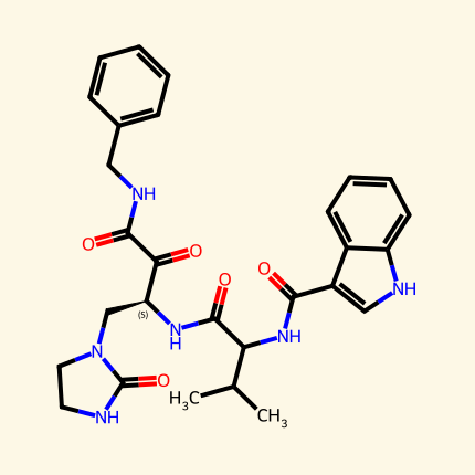 CC(C)C(NC(=O)c1c[nH]c2ccccc12)C(=O)N[C@@H](CN1CCNC1=O)C(=O)C(=O)NCc1ccccc1